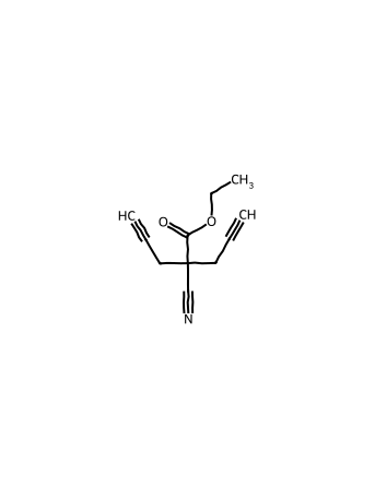 C#CCC(C#N)(CC#C)C(=O)OCC